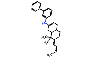 C/C=C\C=C1/CCC2CC=C(Nc3cccc(-c4ccccc4)c3)CC2C1(C)C